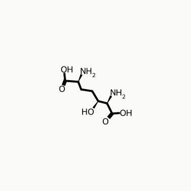 N[C@@H](CC[C@H](O)[C@@H](N)C(=O)O)C(=O)O